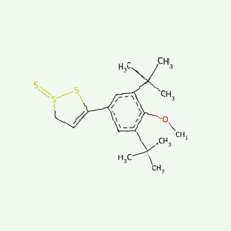 COc1c(C(C)(C)C)cc(C2=CCS(=S)S2)cc1C(C)(C)C